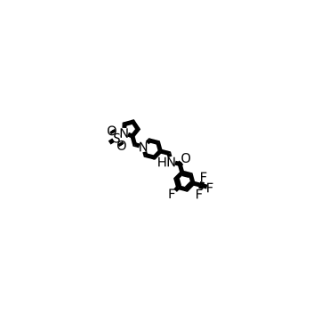 CS(=O)(=O)N1CCCC1CN1CCC(CNC(=O)c2cc(F)cc(C(F)(F)F)c2)CC1